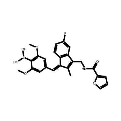 COc1cc(/C=C2/C(C)=C(CNC(=O)c3ccco3)c3cc(F)ccc32)cc(OC)c1B(O)O